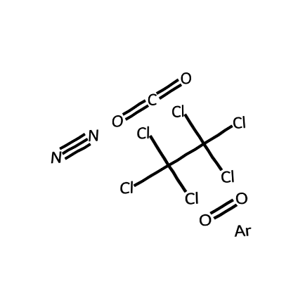 ClC(Cl)(Cl)C(Cl)(Cl)Cl.N#N.O=C=O.O=O.[Ar]